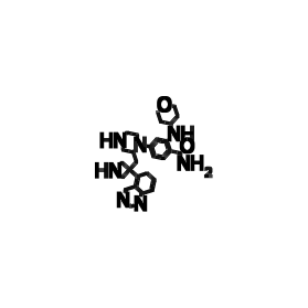 NC(=O)c1ccc(N2CCNCC2CC2(C3=C4C=NCN=C4C=CC3)CNC2)cc1NC1CCOCC1